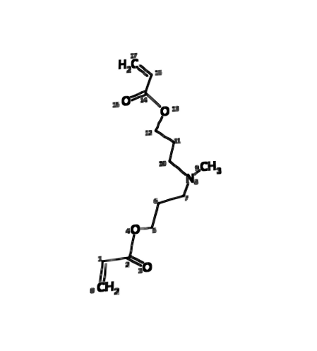 C=CC(=O)OCCCN(C)CCCOC(=O)C=C